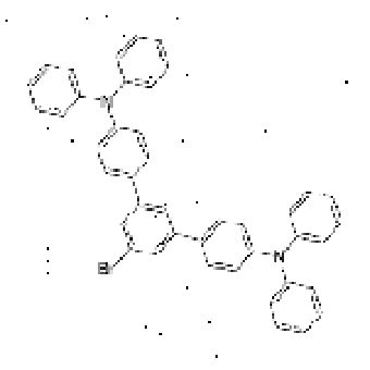 Brc1cc(-c2ccc(N(c3ccccc3)c3ccccc3)cc2)cc(-c2ccc(N(c3ccccc3)c3ccccc3)cc2)c1